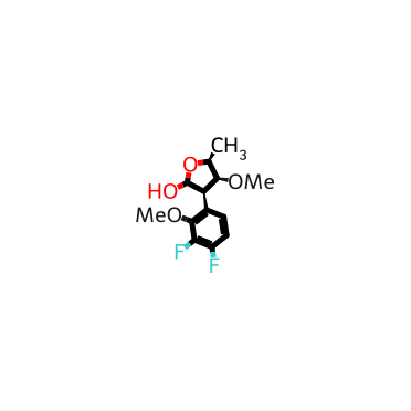 COc1c([C@H]2C(O)O[C@@H](C)[C@H]2OC)ccc(F)c1F